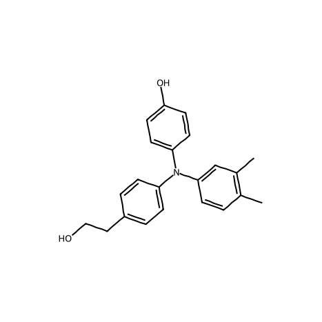 Cc1ccc(N(c2ccc(O)cc2)c2ccc(CCO)cc2)cc1C